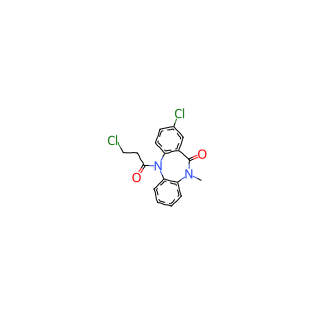 CN1C(=O)c2cc(Cl)ccc2N(C(=O)CCCl)c2ccccc21